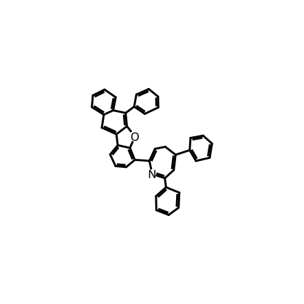 C1=C(c2ccccc2)CC=C(c2cccc3c2oc2c(-c4ccccc4)c4ccccc4cc23)N=C1c1ccccc1